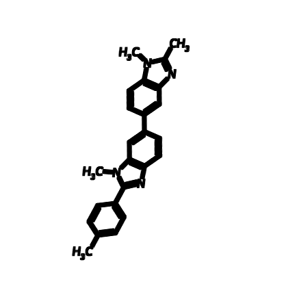 Cc1ccc(-c2nc3ccc(-c4ccc5c(c4)nc(C)n5C)cc3n2C)cc1